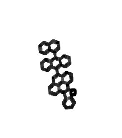 c1ccc2c(-c3c4ccccc4c(-c4cc5cccc6c7c8ccccc8oc7c7cccc4c7c56)c4ccccc34)cccc2c1